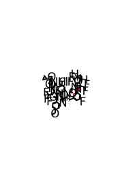 COc1cc(F)c2c(=O)n(-c3ccc(Cl)c4c(NS(=O)(=O)C5CC5)nn(CC(F)F)c34)c([C@H](Cc3cc(F)cc(F)c3)NC(=O)Cn3nc(C(F)F)c4c3C(F)(F)[C@@H]3C[C@H]43)nc2c1